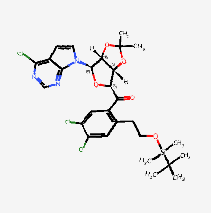 CC1(C)O[C@@H]2[C@H](O1)[C@@H](C(=O)c1cc(Cl)c(Cl)cc1CCO[Si](C)(C)C(C)(C)C)O[C@H]2n1ccc2c(Cl)ncnc21